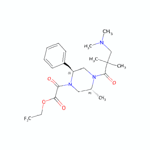 C[C@@H]1CN(C(=O)C(=O)OCC(F)(F)F)[C@@H](c2ccccc2)CN1C(=O)C(C)(C)CN(C)C